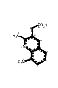 Cc1nc2c([N+](=O)[O-])cccc2cc1CC(=O)O